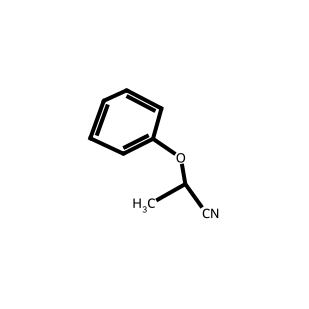 CC(C#N)Oc1ccccc1